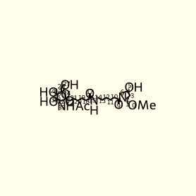 COC[C@@H]1C[C@@H](O)CN1C(=O)CCCCCNC(=O)CCCCOC1OC(CO)C(O)C(O)C1NC(C)=O